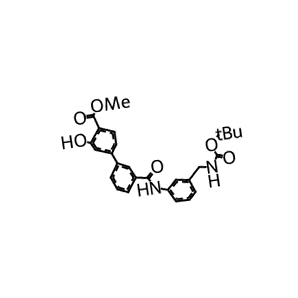 COC(=O)c1ccc(-c2cccc(C(=O)Nc3cccc(CNC(=O)OC(C)(C)C)c3)c2)cc1O